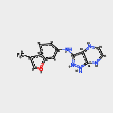 FC(F)(F)c1coc2cc(Nc3n[nH]c4nccnc34)ccc12